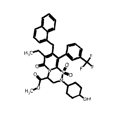 CCc1c(Cc2cccc3ccccc23)c(-c2cccc(C(F)(F)F)c2)c2n(c1=O)C(C(=O)OC)CN(C1CCC(O)CC1)S2(=O)=O